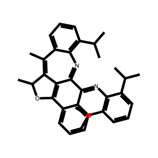 Cc1c2c3c(c4ccccc4/c(=N\c4c(C(C)C)cccc4C(C)C)c-3nc3c(C(C)C)cccc13)OC2C